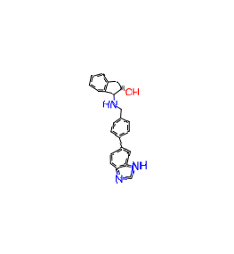 O[C@H]1Cc2ccccc2C1NCc1ccc(-c2ccc3nc[nH]c3c2)cc1